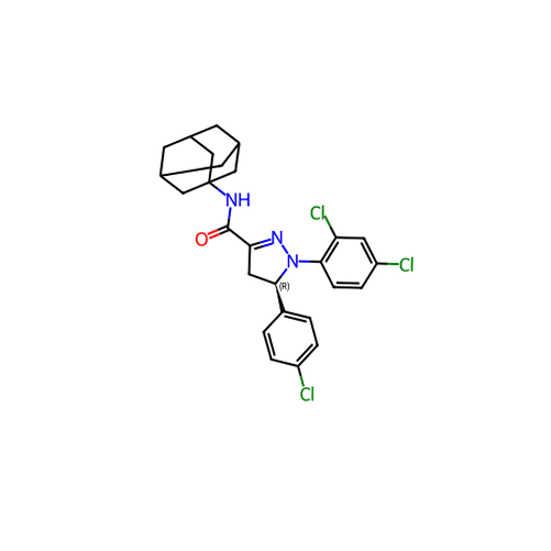 O=C(NC12CC3CC(CC(C3)C1)C2)C1=NN(c2ccc(Cl)cc2Cl)[C@@H](c2ccc(Cl)cc2)C1